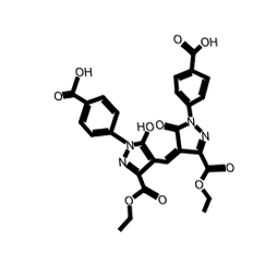 CCOC(=O)C1=NN(c2ccc(C(=O)O)cc2)C(=O)C1=Cc1c(C(=O)OCC)nn(-c2ccc(C(=O)O)cc2)c1O